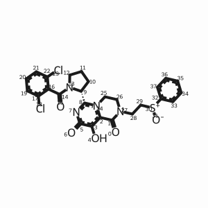 O=C1c2c(O)c(=O)nc([C@H]3CCCN3C(=O)c3c(Cl)cccc3Cl)n2CCN1CC[S+]([O-])c1ccccc1